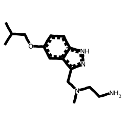 CC(C)COc1ccc2[nH]nc(CN(C)CCN)c2c1